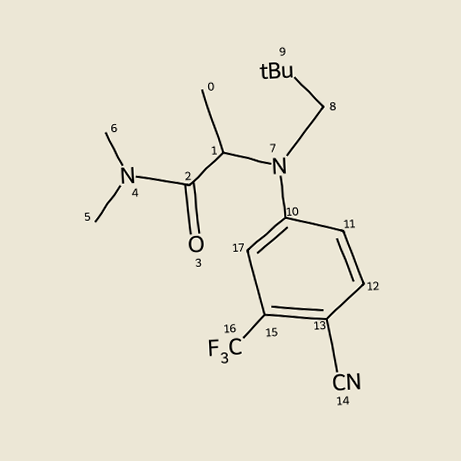 CC(C(=O)N(C)C)N(CC(C)(C)C)c1ccc(C#N)c(C(F)(F)F)c1